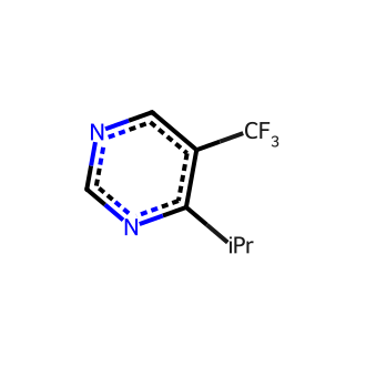 CC(C)c1ncncc1C(F)(F)F